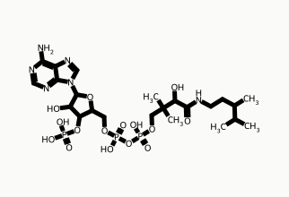 CC(C)C(C)CCNC(=O)C(O)C(C)(C)COP(=O)(O)OP(=O)(O)OCC1OC(n2cnc3c(N)ncnc32)C(O)C1OP(=O)(O)O